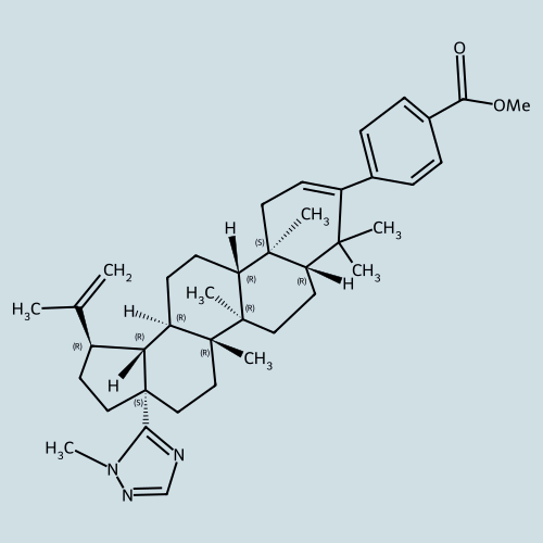 C=C(C)[C@@H]1CC[C@]2(c3ncnn3C)CC[C@]3(C)[C@H](CC[C@@H]4[C@@]5(C)CC=C(c6ccc(C(=O)OC)cc6)C(C)(C)[C@@H]5CC[C@]43C)[C@@H]12